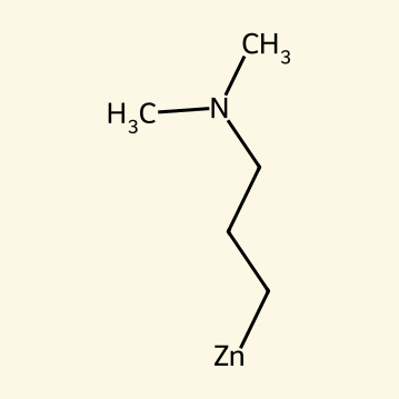 CN(C)CC[CH2][Zn]